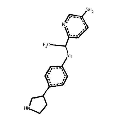 Bc1ccc(C(Nc2ccc(C3CCNC3)cc2)C(F)(F)F)nc1